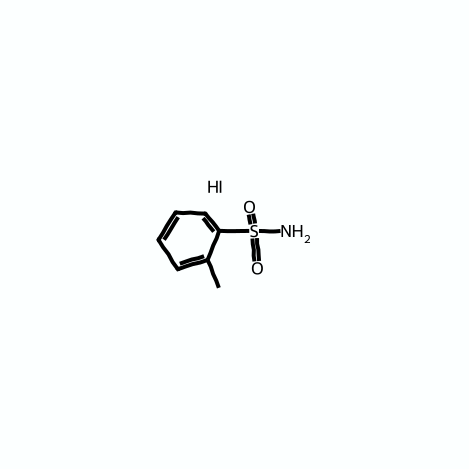 Cc1ccccc1S(N)(=O)=O.I